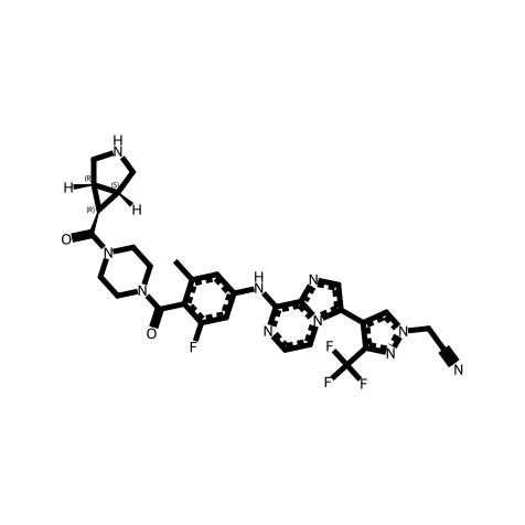 Cc1cc(Nc2nccn3c(-c4cn(CC#N)nc4C(F)(F)F)cnc23)cc(F)c1C(=O)N1CCN(C(=O)[C@H]2[C@@H]3CNC[C@@H]32)CC1